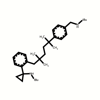 CC(C)(CCC(C)(C)c1ccc(CNC(C)(C)C)cc1)Cc1ccccc1C1(NC(C)(C)C)CC1